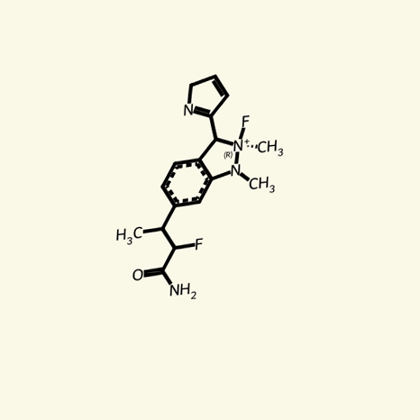 CC(c1ccc2c(c1)N(C)[N@+](C)(F)C2C1=NCC=C1)C(F)C(N)=O